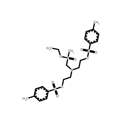 CCOP(C)(=O)CN(CCOS(=O)(=O)c1ccc(C)cc1)CCOS(=O)(=O)c1ccc(C)cc1